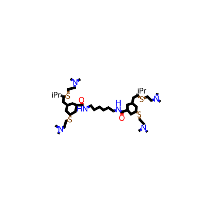 CC(C)C(CC1CC(SCCN(C)C)CC(C(=O)NCCCCCCNC(=O)C2CC(CC(SCCN(C)C)C(C)C)CC(SCCN(C)C)C2)C1)SCCN(C)C